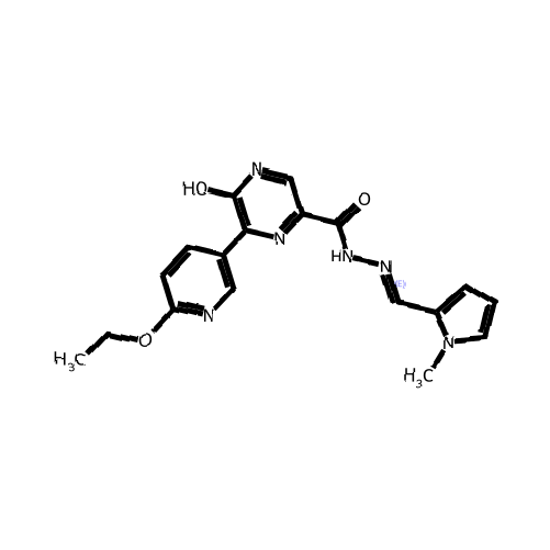 CCOc1ccc(-c2nc(C(=O)N/N=C/c3cccn3C)cnc2O)cn1